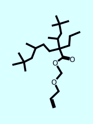 C=CCOCOC(=O)C(CCC)(CCC(C)CC(C)(C)C)C(C)CC(C)(C)C